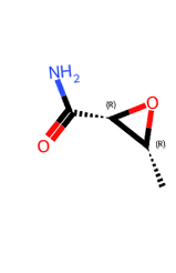 C[C@H]1O[C@H]1C(N)=O